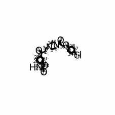 O=C(CCN1CCN(C(=O)COc2ccc(Cl)cc2)CC1)c1ccc2[nH]c(=O)oc2c1